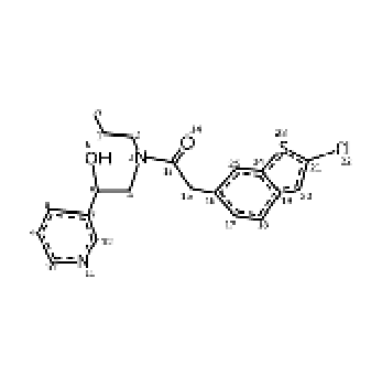 CCCN(CC(O)c1cccnc1)C(=O)Cc1ccc2cc(Cl)sc2c1